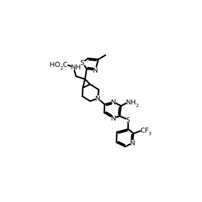 Cc1csc(C2(CNC(=O)O)C3CCN(c4cnc(Sc5cccnc5C(F)(F)F)c(N)n4)CC32)n1